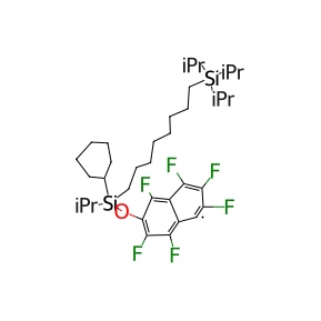 CC(C)[Si](CCCCCCCC[Si](C(C)C)(C(C)C)C(C)C)(Oc1c(F)c(F)c2[c]c(F)c(F)c(F)c2c1F)C1CCCCC1